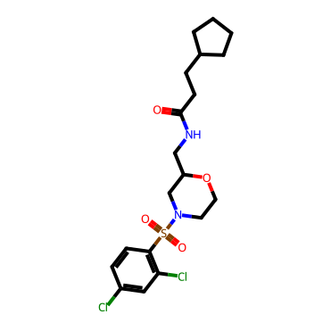 O=C(CCC1CCCC1)NCC1CN(S(=O)(=O)c2ccc(Cl)cc2Cl)CCO1